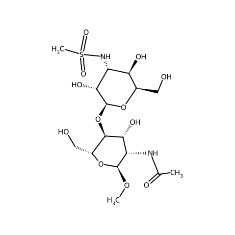 CO[C@H]1O[C@H](CO)[C@@H](O[C@@H]2O[C@H](CO)[C@H](O)[C@@H](NS(C)(=O)=O)[C@H]2O)[C@H](O)[C@@H]1NC(C)=O